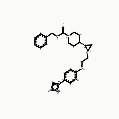 O=C(OCc1ccccc1)N1CCC([C@H]2C[C@H]2CCOc2ccc(-n3cn[nH]3)cn2)CC1